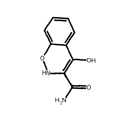 NC(=O)C1=C(O)c2ccccc2ON1